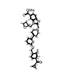 COC(=O)c1ccc2nc(CN3CC=C(c4cccc(OCc5ccc(C(=O)C6CC6)cc5F)n4)CC3)n(CC3CCO3)c2c1